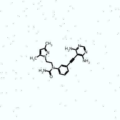 Cc1cc(C)n(CCN(C(N)=O)c2cccc(C#Cc3c(N)ncnc3N)c2)n1